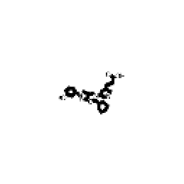 COc1cccc(-n2cc(CN(C(=O)C3CCCCC3)c3cncc(C=CC(=O)O)c3)cn2)c1